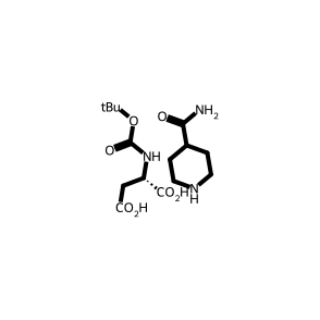 CC(C)(C)OC(=O)N[C@@H](CC(=O)O)C(=O)O.NC(=O)C1CCNCC1